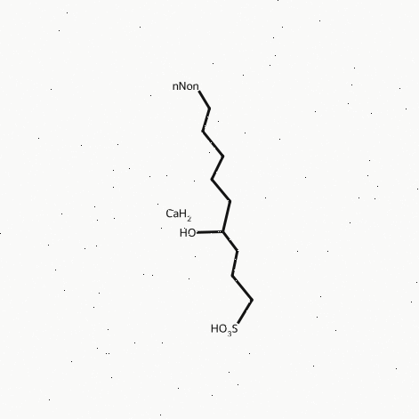 CCCCCCCCCCCCCCC(O)CCCS(=O)(=O)O.[CaH2]